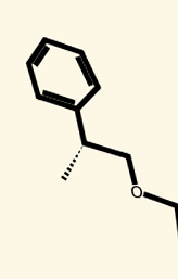 CCOC[C@H](C)c1ccccc1